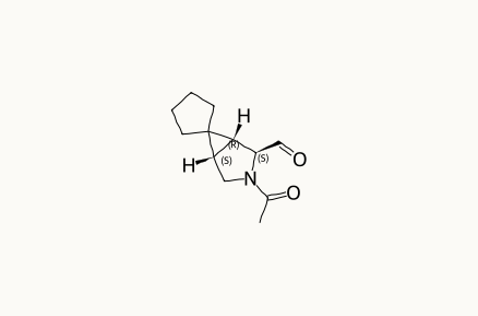 CC(=O)N1C[C@H]2[C@@H]([C@H]1C=O)C21CCCC1